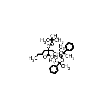 CC(C)(OOC(C)(C)c1ccccc1)c1ccccc1.CCCCC(CC)(OOC(C)(C)C)C(=O)O